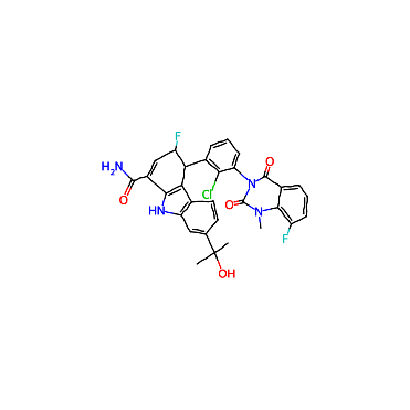 Cn1c(=O)n(-c2cccc(C3c4c([nH]c5cc(C(C)(C)O)ccc45)C(C(N)=O)=CC3F)c2Cl)c(=O)c2cccc(F)c21